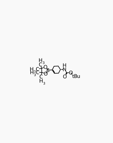 CC(C)(C)OC(=O)N[C@H]1CC=C(B2OC(C)(C)C(C)(C)O2)CC1